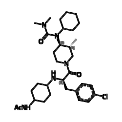 CC(=O)NC1CCC(N[C@H](Cc2ccc(Cl)cc2)C(=O)N2CC[C@@H](N(C(=O)N(C)C)C3CCCCC3)[C@H](C)C2)CC1